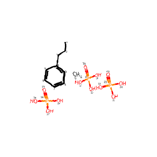 C.CCCc1ccccc1.O=P(O)(O)O.O=P(O)(O)O.O=P(O)(O)O